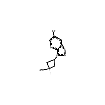 C[C@]1(O)C[C@@H](n2nnc3cc(O)cnc32)C1